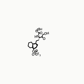 CC(C)(C)OC(=O)N[C@@H](CCc1ccc(OS(=O)(=O)C(F)(F)F)c2c1CCCC2)C(=O)CO